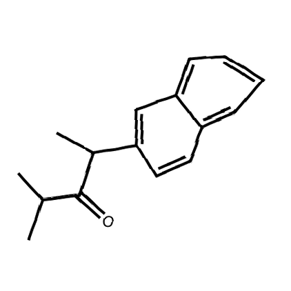 CC(C)C(=O)C(C)c1ccc2ccccc2c1